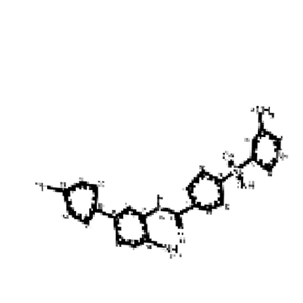 Cc1cncc(S(=N)(=O)c2ccc(C(=O)Nc3cc(-c4ccc(F)cc4)ccc3N)cc2)c1